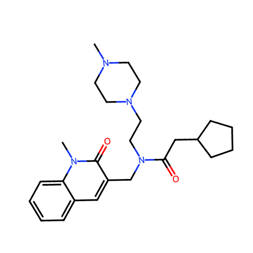 CN1CCN(CCN(Cc2cc3ccccc3n(C)c2=O)C(=O)CC2CCCC2)CC1